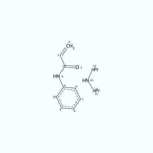 C=CC(=O)Nc1ccccc1.CCCNCCC